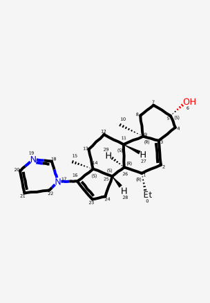 CC[C@H]1C=C2C[C@@H](O)CC[C@]2(C)[C@H]2CC[C@]3(C)C(N4C=NC=CC4)=CC[C@H]3[C@H]12